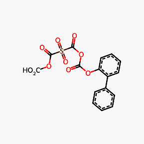 O=C(O)OC(=O)S(=O)(=O)C(=O)OC(=O)Oc1ccccc1-c1ccccc1